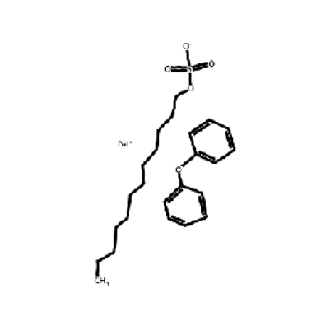 CCCCCCCCCCCCOS(=O)(=O)[O-].[Na+].c1ccc(Oc2ccccc2)cc1